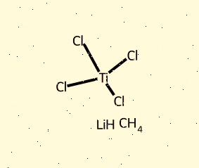 C.[Cl][Ti]([Cl])([Cl])[Cl].[LiH]